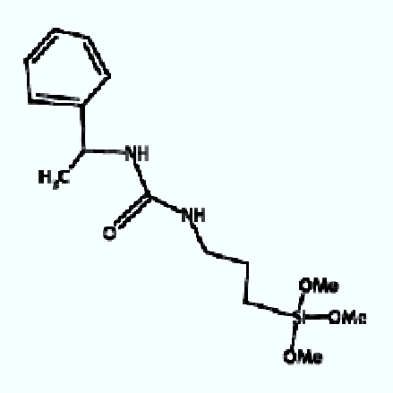 CO[Si](CCCNC(=O)NC(C)c1ccccc1)(OC)OC